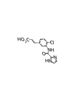 O=C(O)C=Cc1ccc(Cl)c(NC(=O)c2ncc[nH]2)c1